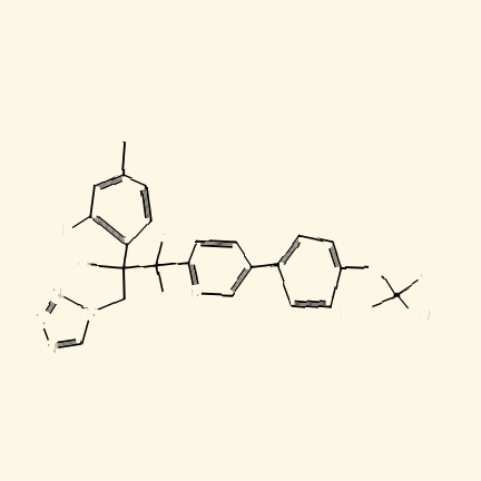 CC(C)(C)Oc1ccc(-c2ccc(C(F)(F)C(O)(Cn3cnnn3)c3ccc(F)cc3F)nc2)cc1